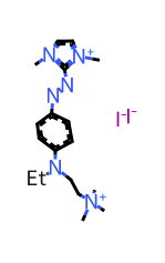 CCN(CC[N+](C)(C)C)c1ccc(N=Nc2n(C)cc[n+]2C)cc1.[I-].[I-]